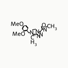 COc1ccc(CN2CCn3c(-c4coc(C)n4)nnc3[C@@H]2C)c(OC)c1